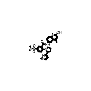 Cc1cc(O)nc2ccc(NC(=O)c3cc(S(=O)(=O)N(C)C)ccc3N3CCCC3c3cc[nH]n3)cc12